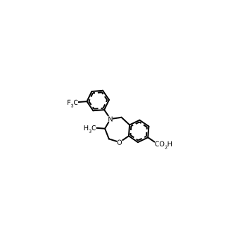 CC1COc2cc(C(=O)O)ccc2CN1c1cccc(C(F)(F)F)c1